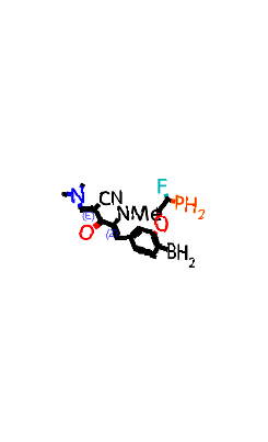 Bc1ccc(/C=C(\NC)C(=O)/C(C#N)=C/N(C)C)cc1OCC(F)P